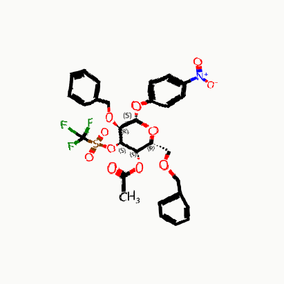 CC(=O)O[C@@H]1[C@H](OS(=O)(=O)C(F)(F)F)[C@@H](OCc2ccccc2)[C@H](Oc2ccc([N+](=O)[O-])cc2)O[C@@H]1COCc1ccccc1